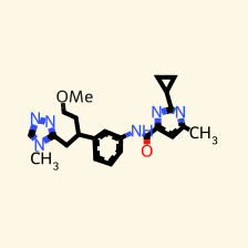 COCCC(Cc1nncn1C)c1cccc(NC(=O)c2cc(C)nc(C3CC3)n2)c1